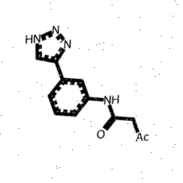 CC(=O)CC(=O)Nc1cccc(-c2c[nH]nn2)c1